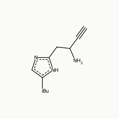 C#CC(N)Cc1ncc(C(C)CC)[nH]1